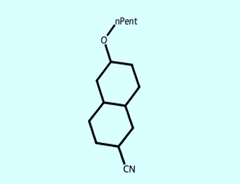 CCCCCOC1CCC2CC(C#N)CCC2C1